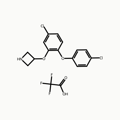 Clc1ccc(Oc2ccc(Cl)cc2OC2CNC2)cc1.O=C(O)C(F)(F)F